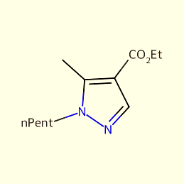 CCCCCn1ncc(C(=O)OCC)c1C